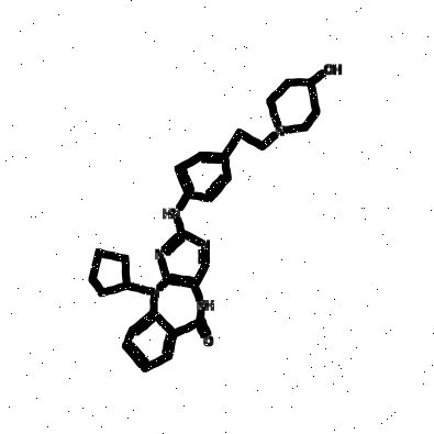 O=C1Nc2cnc(Nc3ccc(CCN4CCC(O)CC4)cc3)nc2N(C2CCCC2)c2ccccc21